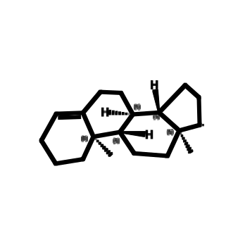 C[C@@]12[CH]CC[C@H]1[C@@H]1CCC3=CCCC[C@]3(C)[C@H]1CC2